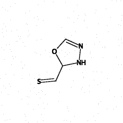 S=CC1NN=CO1